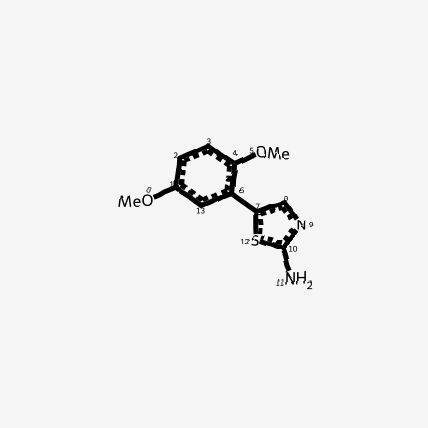 COc1ccc(OC)c(-c2cnc(N)s2)c1